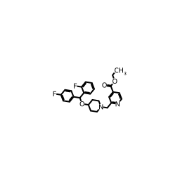 CCOC(=O)c1ccnc(CN2CCC(OC(c3ccc(F)cc3)c3ccccc3F)CC2)c1